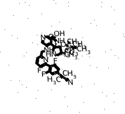 C[C@H]1CNC[C@](NC(=O)O)(c2ccncc2NCc2ccc(F)c(-c3c(F)cc(C(C)(C)C#N)cc3F)n2)[C@@H]1O[Si](C)(C)C(C)(C)C